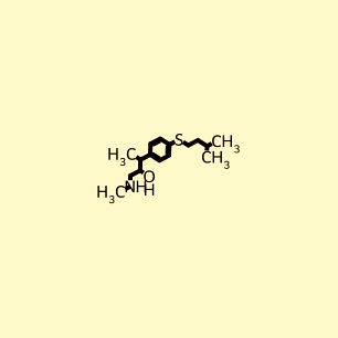 CNCC(O)C(C)c1ccc(SCCC(C)C)cc1